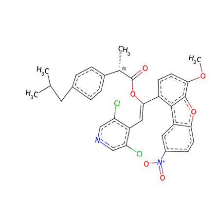 COc1ccc(C(=Cc2c(Cl)cncc2Cl)OC(=O)[C@@H](C)c2ccc(CC(C)C)cc2)c2c1oc1ccc([N+](=O)[O-])cc12